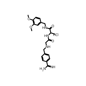 COc1ccc(CNC(=O)C(C)NC(=O)CNCc2ccc(C(=N)N)cc2)cc1OC.Cl